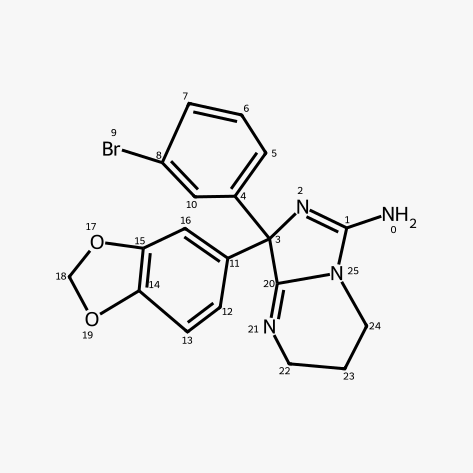 NC1=NC(c2cccc(Br)c2)(c2ccc3c(c2)OCO3)C2=NCCCN12